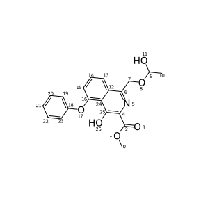 COC(=O)c1nc(COC(C)O)c2cccc(Oc3ccccc3)c2c1O